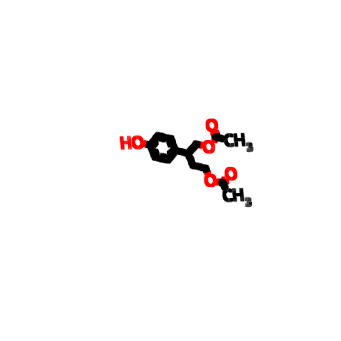 CC(=O)OCCC(COC(C)=O)c1ccc(O)cc1